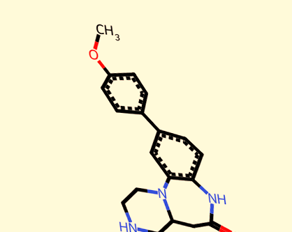 COc1ccc(-c2ccc3c(c2)N2CCNCC2CC(=O)N3)cc1